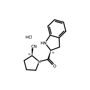 Cl.N#C[C@@H]1CCCN1C(=O)[C@@H]1Cc2ccccc2N1